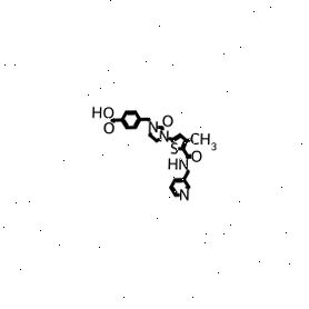 Cc1cc(N2CCN(Cc3ccc(C(=O)O)cc3)C2=O)sc1C(=O)NCc1cccnc1